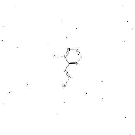 [2H]c1nccnc1C=CCC